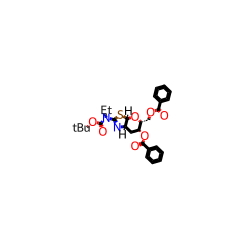 CCN(C(=O)OC(C)(C)C)C1=N[C@@H]2C[C@H](OC(=O)c3ccccc3)[C@@H](COC(=O)c3ccccc3)O[C@@H]2S1